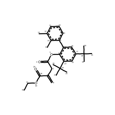 C=C(CC(=O)Oc1c(-c2cccc(C)c2C)cc(C(C)(C)C)cc1C(C)(C)C)C(=O)OCC